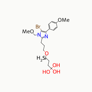 COCn1c(CCCO[SiH2]CCC(O)(O)O)nc(-c2ccc(OC)cc2)c1Br